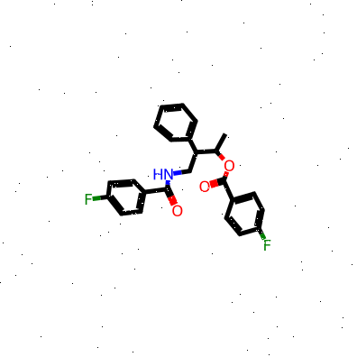 CC(OC(=O)c1ccc(F)cc1)C(CNC(=O)c1ccc(F)cc1)c1ccccc1